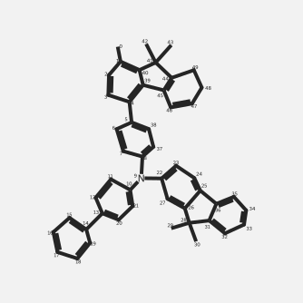 Cc1ccc(-c2ccc(N(c3ccc(-c4ccccc4)cc3)c3ccc4c(c3)C(C)(C)c3ccccc3-4)cc2)c2c1C(C)(C)C1=C2C=CCC1